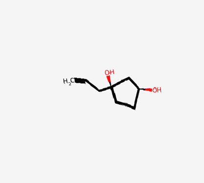 C=CC[C@@]1(O)CC[C@H](O)C1